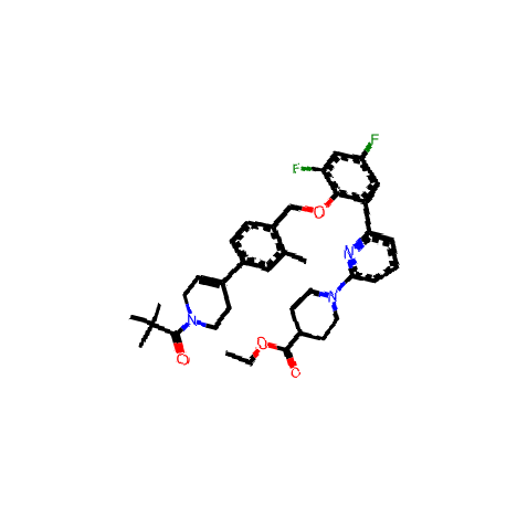 CCOC(=O)C1CCN(c2cccc(-c3cc(F)cc(F)c3OCc3ccc(C4=CCN(C(=O)C(C)(C)C)CC4)cc3C)n2)CC1